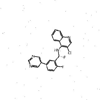 Fc1ccc(-c2cncnc2)cc1[C@@H](F)Nc1c(Cl)cnc2ccccc12